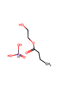 CCCC(=O)OCCO.O=[PH](O)O